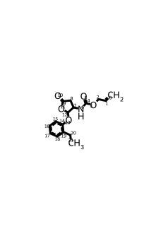 C=CCOC(=O)NC1CC(=O)OC1Oc1ccccc1CC